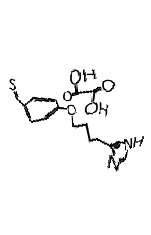 O=C(O)C(=O)O.S=Cc1ccc(OCCCc2c[nH]cn2)cc1